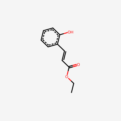 CCOC(=O)/C=C/c1ccccc1O